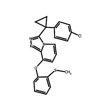 CSc1ccccc1Oc1cccn2c(C3(c4ccc(Cl)cc4)CC3)nnc12